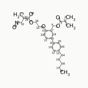 C=C(C)C(=O)OCc1cc(-c2ccc(CCCCC)cc2)ccc1OCCOC(=O)C(=C)CN=O